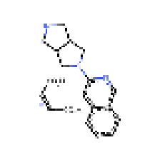 O=C(O)/C=C\C(=O)O.c1ccc2cc(N3CC4CNCC4C3)ncc2c1